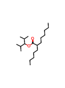 CCCCCCC(CCCCC)C(=O)OC(C(C)C)C(C)C